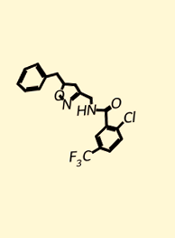 O=C(NCC1=NOC(Cc2ccccc2)C1)c1cc(C(F)(F)F)ccc1Cl